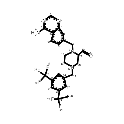 Nc1ncnc2cc(CN3CCN(Cc4cc(C(F)(F)F)cc(C(F)(F)F)c4)CC3C=O)ccc12